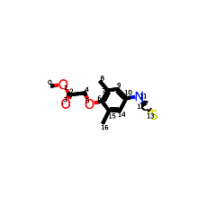 COC(=O)COc1c(C)cc(N=C=S)cc1C